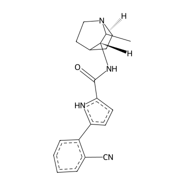 C[C@H]1[C@H](NC(=O)c2ccc(-c3ccccc3C#N)[nH]2)C2CCN1CC2